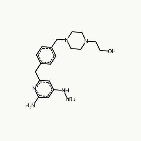 CCCCNc1cc(N)nc(Cc2ccc(CN3CCN(CCO)CC3)cc2)c1